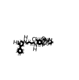 O=S(=O)(Nc1nccs1)c1cc(Cl)c(NCCCCNC2CNCC(c3ccccc3)C2)cc1F